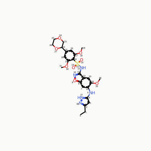 CCc1cc(Nc2cc3onc(NS(=O)(=O)c4c(OC)cc(C5COCCO5)cc4OC)c3cc2OC)[nH]n1